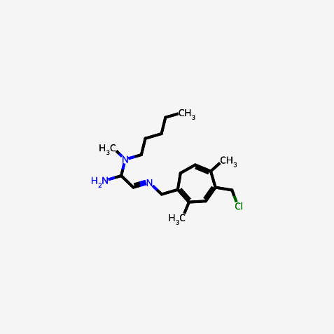 CCCCCN(C)C(N)/C=N/CC1=C(C)C=C(CCl)C(C)=CC1